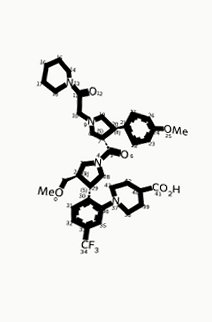 COC[C@H]1CN(C(=O)[C@@H]2CN(CC(=O)N3CCCCC3)C[C@H]2c2ccc(OC)cc2)C[C@@H]1c1ccc(C(F)(F)F)cc1N1CCC(C(=O)O)CC1